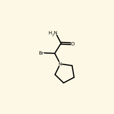 NC(=O)C(Br)N1CCCC1